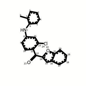 Cc1ccccc1Nc1ccc(C(=O)c2cc3ccccc3o2)c(Cl)c1